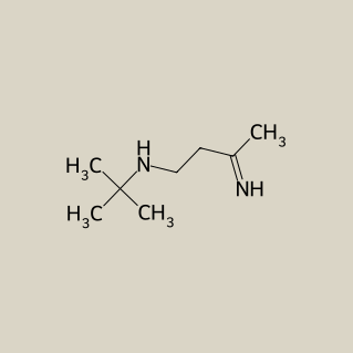 CC(=N)CCNC(C)(C)C